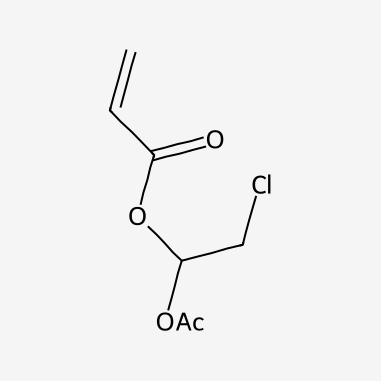 C=CC(=O)OC(CCl)OC(C)=O